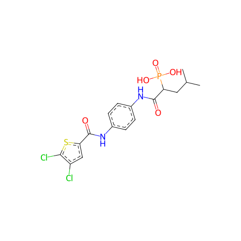 CC(C)CC(C(=O)Nc1ccc(NC(=O)c2cc(Cl)c(Cl)s2)cc1)P(=O)(O)O